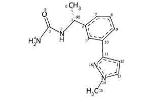 C[C@@H](NC(N)=O)c1cccc(-c2ccn(C)n2)c1